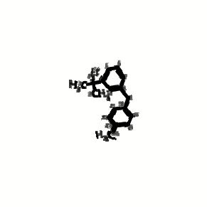 CCC(C)(C)c1cccc(Cc2ccc(C)cc2)c1